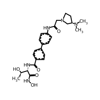 C[C@@H](O)[C@H](NC(=O)c1ccc(-c2ccc(NC(=O)CN3CC[C@@H](N(C)C)C3)cc2)cc1)C(=O)NO